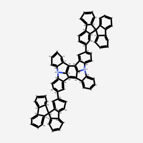 c1ccc2c(c1)-c1ccccc1C21c2ccccc2-c2ccc(-c3ccc4c(c3)c3c5c6ccccc6n6c7ccc(-c8ccc9c(c8)C8(c%10ccccc%10-c%10ccccc%108)c8ccccc8-9)cc7c(c7c8ccccc8n4c73)c56)cc21